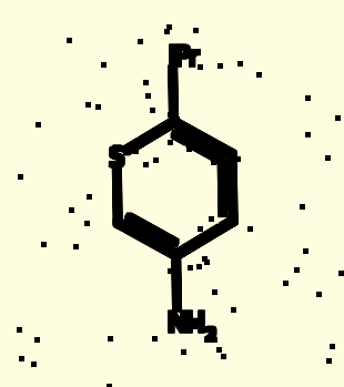 CC(C)C1=C=CC(N)=CS1